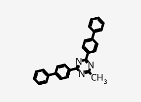 Cc1nc(-c2ccc(-c3ccccc3)cc2)nc(-c2ccc(-c3ccccc3)cc2)n1